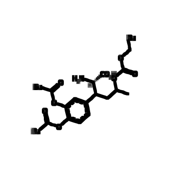 CCC(C)COC(=O)OC(C)CC(c1ccc(OC(=O)C(C)CC)c(OC(=O)C(C)CC)c1)[C@H](N)C(=O)O